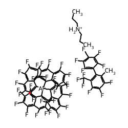 CCC[NH2+]CCC.Cc1c(F)c(F)c(F)c(C(F)(F)F)c1-c1c(F)c(F)c(F)c(F)c1F.Fc1c(F)c(F)c2[c]([Al-]([c]3c(F)c(F)c(F)c4c(F)c(F)c(F)c(F)c34)([c]3c(F)c(F)c(F)c4c(F)c(F)c(F)c(F)c34)[c]3c(F)c(F)c(F)c4c(F)c(F)c(F)c(F)c34)c(F)c(F)c(F)c2c1F